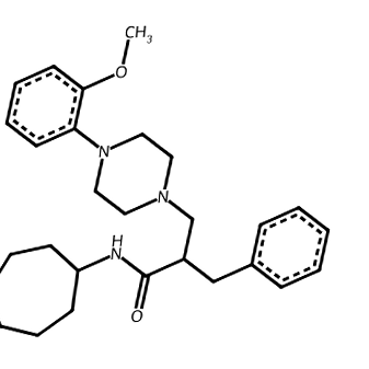 COc1ccccc1N1CCN(CC(Cc2ccccc2)C(=O)NC2CCCCCC2)CC1